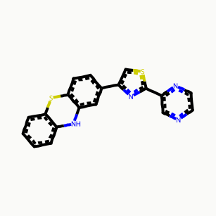 c1ccc2c(c1)Nc1cc(-c3csc(-c4cnccn4)n3)ccc1S2